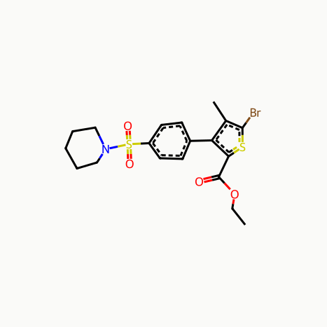 CCOC(=O)c1sc(Br)c(C)c1-c1ccc(S(=O)(=O)N2CCCCC2)cc1